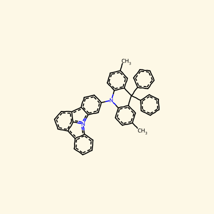 Cc1ccc2c(c1)C(c1ccccc1)(c1ccccc1)c1cc(C)ccc1N2c1ccc2c3cccc4c5ccccc5n(c2c1)c43